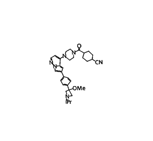 COC1(c2ccc(-c3cc4c(N5CCN(C(=O)C6CCC(C#N)CC6)CC5)ccnn4c3)cc2)CN(C(C)C)C1